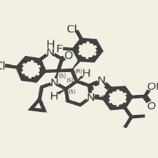 CC(C)c1cc2c(cc1C(=O)O)nc1n2CC[C@H]2[C@@H]1[C@H](c1cccc(Cl)c1F)[C@]1(C(=O)Nc3cc(Cl)ccc31)N2CC1CC1